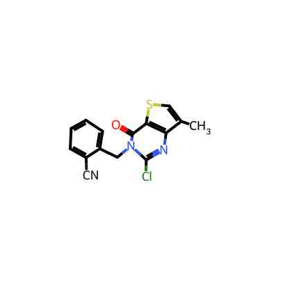 Cc1csc2c(=O)n(Cc3ccccc3C#N)c(Cl)nc12